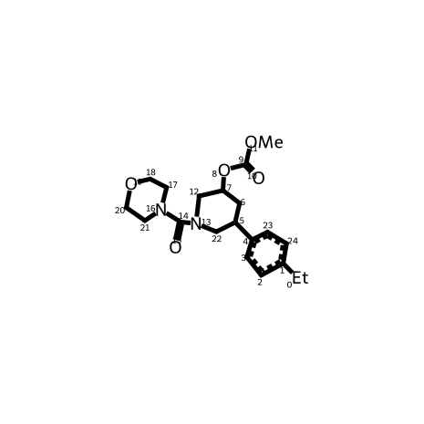 CCc1ccc(C2CC(OC(=O)OC)CN(C(=O)N3CCOCC3)C2)cc1